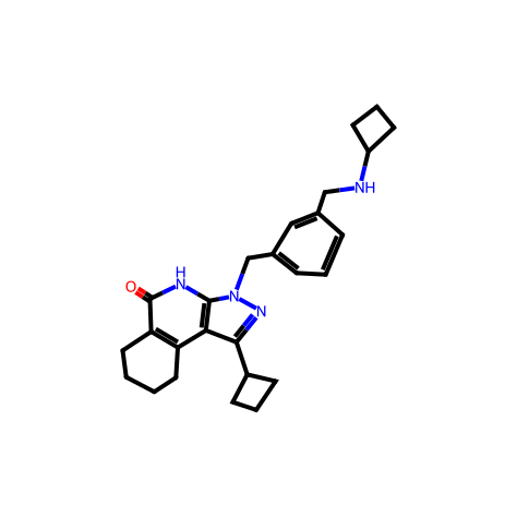 O=c1[nH]c2c(c(C3CCC3)nn2Cc2cccc(CNC3CCC3)c2)c2c1CCCC2